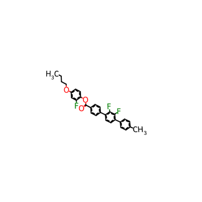 CCCCOc1ccc(OC(=O)c2ccc(-c3ccc(-c4ccc(C)cc4)c(F)c3F)cc2)c(F)c1